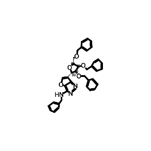 c1ccc(CNc2ncnc3c([C@@H]4O[C@H](COCc5ccccc5)[C@@H](OCc5ccccc5)[C@H]4OCc4ccccc4)coc23)cc1